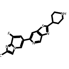 Cc1cn2cc(-c3cc4sc(C5CCNCC5)nc4cn3)cc(F)c2n1